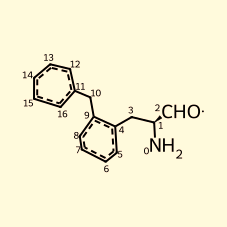 N[C@H]([C]=O)Cc1ccccc1Cc1ccccc1